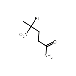 CCC(C)(CCC(N)=O)[N+](=O)[O-]